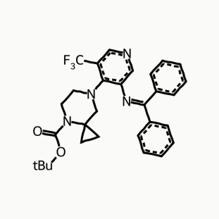 CC(C)(C)OC(=O)N1CCN(c2c(N=C(c3ccccc3)c3ccccc3)cncc2C(F)(F)F)CC12CC2